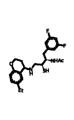 CCc1ccc2c(c1)C(NC[C@@H](S)[C@H](Cc1cc(F)cc(F)c1)NC(C)=O)CCO2